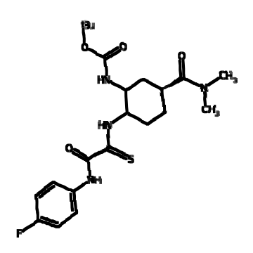 CN(C)C(=O)[C@H]1CCC(NC(=S)C(=O)Nc2ccc(F)cc2)C(NC(=O)OC(C)(C)C)C1